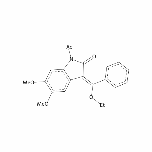 CCO/C(=C1/C(=O)N(C(C)=O)c2cc(OC)c(OC)cc21)c1ccccc1